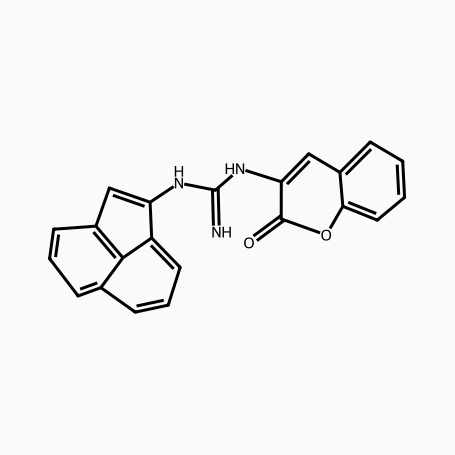 N=C(NC1=Cc2cccc3cccc1c23)Nc1cc2ccccc2oc1=O